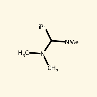 CNC(C(C)C)N(C)C